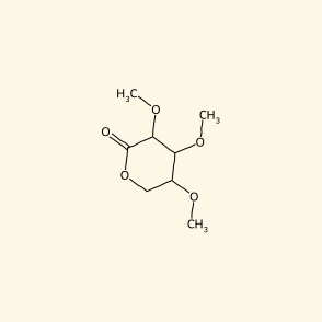 COC1COC(=O)C(OC)C1OC